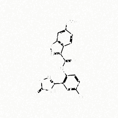 COc1ccc2c(C(=O)Nc3ccc(Br)cc3-c3noc(=O)[nH]3)noc2c1